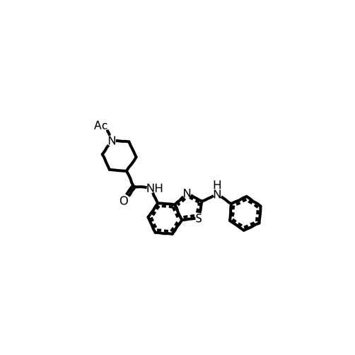 CC(=O)N1CCC(C(=O)Nc2cccc3sc(Nc4ccccc4)nc23)CC1